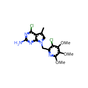 COc1nc(Cn2cc(C)c3c(Cl)nc(N)nc32)c(Cl)c(OC)c1OC